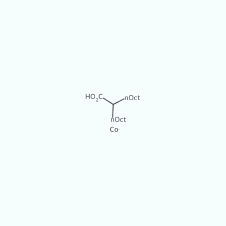 CCCCCCCCC(CCCCCCCC)C(=O)O.[Co]